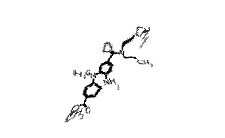 CCCN(CCC)C(=O)c1ccc(N)c(N(C)c2ccc(C(=O)OC)cc2)c1